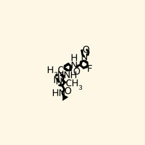 Cc1ccc(NC(=O)c2cc(F)cc(N3CCOCC3)c2)cc1Nc1ncnn2cc(C(=O)NC3CC3)c(C)c12